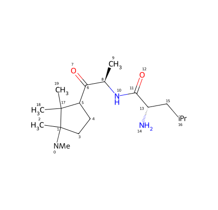 CNC1(C)CCC(C(=O)[C@@H](C)NC(=O)[C@@H](N)CC(C)C)C1(C)C